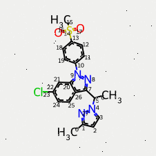 Cc1ccn(C(C)c2nn(-c3ccc(S(C)(=O)=O)cc3)c3cc(Cl)ccc23)n1